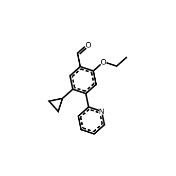 CCOc1cc(-c2ccccn2)c(C2CC2)cc1C=O